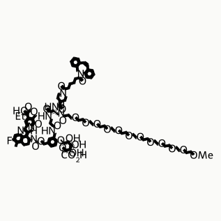 CC[C@@]1(O)C(=O)OCc2c1cc1n(c2=O)Cc2c-1nc1cc(F)c(C)c3c1c2[C@@H](NC(=O)OCc1ccc(O[C@@H]2O[C@H](C(=O)O)[C@@H](O)[C@H](O)[C@H]2O)c(CNC(=O)CCNC(=O)[C@H](CNC(=O)CCOCCOCCOCCOCCOCCOCCOCCOCCOCCOCCOCCOC)NC(=O)C2CCN(C(=O)CCCCC(=O)N4Cc5ccccc5C#Cc5ccccc54)CC2)c1)CC3